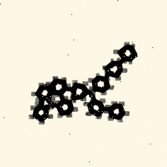 c1ccc(-c2ccc(-c3ccc(N(c4ccc(-c5ccccc5-c5ccccc5-n5c6ccccc6c6ccccc65)cc4)c4cccc(-c5ccccc5)c4)cc3)cc2)cc1